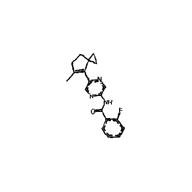 CC1=C(c2cnc(NC(=O)c3ccccc3F)cn2)C2(CC1)CC2